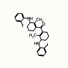 CC1=C(C(=O)C2=C(C)C(Nc3ccccc3I)CCC2)CCCC1Nc1ccccc1I